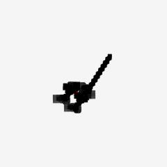 CC(C)(C)c1cc(CCC(=O)O)cc(C(C)(C)C)c1O.CC(C)(C)c1cc(CCC(=O)O)cc(C(C)(C)C)c1O.CCCCCCCCCCCCCCCCCCN(CCO)CCO